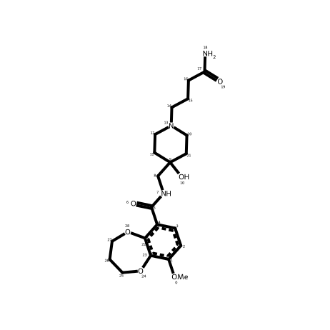 COc1ccc(C(=O)NCC2(O)CCN(CCCC(N)=O)CC2)c2c1OCCCO2